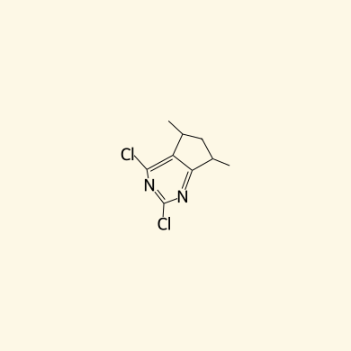 CC1CC(C)c2c(Cl)nc(Cl)nc21